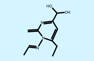 C=C1N=C(C(O)O)C=C(CC)N1/N=C/C